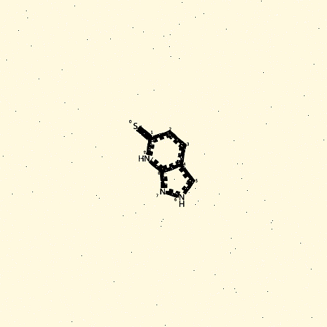 S=c1ccc2c[nH]nc2[nH]1